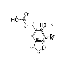 CBc1c(CCC(=O)O)cc2c(c1Br)OCC2